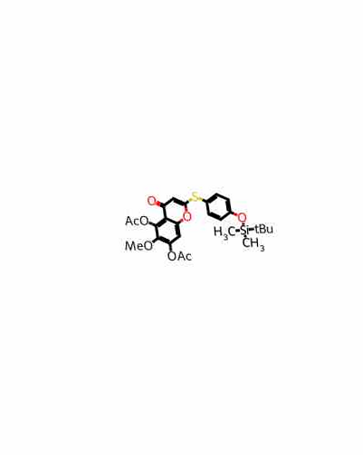 COc1c(OC(C)=O)cc2oc(Sc3ccc(O[Si](C)(C)C(C)(C)C)cc3)cc(=O)c2c1OC(C)=O